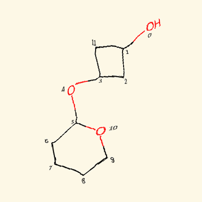 OC1CC(OC2CCCCO2)C1